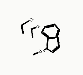 CC[O-].CC[O-].[CH3][Zr+2][CH]1C=Cc2ccccc21